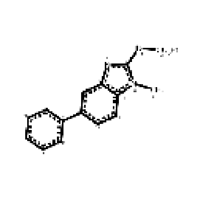 CCOC(=O)Nc1nc2cc(-c3ccccc3)ccc2n1C